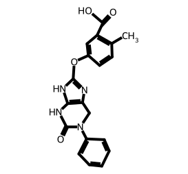 Cc1ccc(Oc2nc3c([nH]2)NC(=O)N(c2ccccc2)C3)cc1C(=O)O